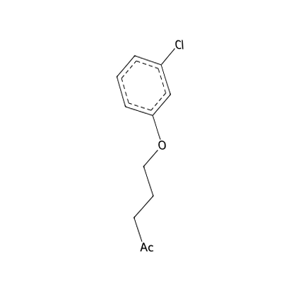 CC(=O)CCCOc1cccc(Cl)c1